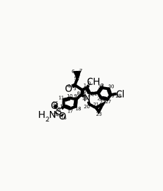 Cc1c(C(=O)C2CC2)c(-c2ccc(S(N)(=O)=O)cc2)n(CC2CC2)c1-c1ccc(Cl)cc1